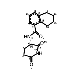 O=C1CC[C@H](NC(=O)c2cccc3c2CCCC3)C(=O)N1